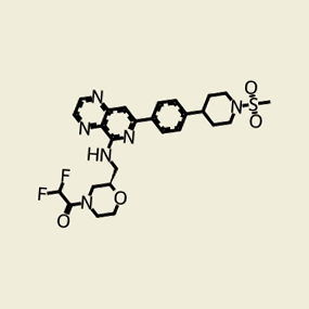 CS(=O)(=O)N1CCC(c2ccc(-c3cc4nccnc4c(NC[C@@H]4CN(C(=O)C(F)F)CCO4)n3)cc2)CC1